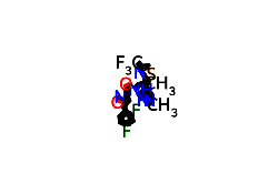 Cn1cc(C(C)(CNC(=O)c2cc(-c3ccc(F)cc3F)on2)c2nc(C(F)(F)F)cs2)cn1